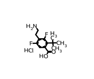 CC(C)(C)c1c(C(=O)O)cc(F)c(CCN)c1F.Cl